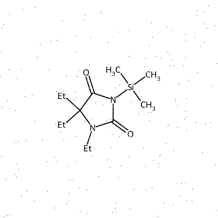 CCN1C(=O)N([Si](C)(C)C)C(=O)C1(CC)CC